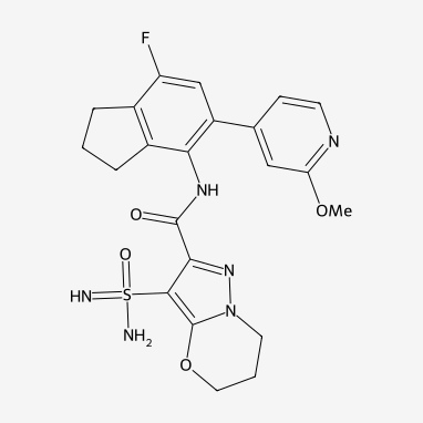 COc1cc(-c2cc(F)c3c(c2NC(=O)c2nn4c(c2S(=N)(N)=O)OCCC4)CCC3)ccn1